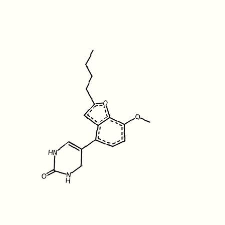 CCCCc1cc2c(C3=CNC(=O)NC3)ccc(OC)c2o1